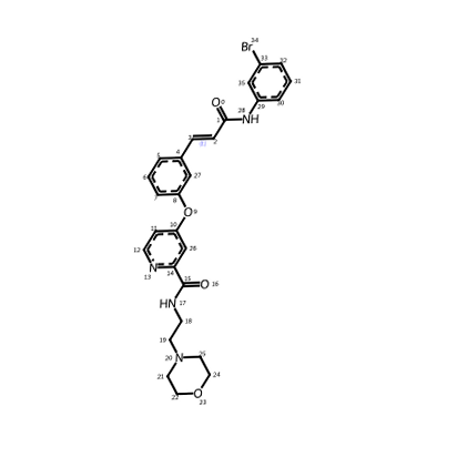 O=C(/C=C/c1cccc(Oc2ccnc(C(=O)NCCN3CCOCC3)c2)c1)Nc1cccc(Br)c1